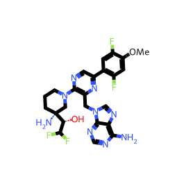 COc1cc(F)c(-c2cnc(N3CCC[C@](N)([C@H](O)C(F)F)C3)c(Cn3cnc4c(N)ncnc43)n2)cc1F